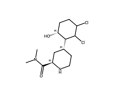 CN(C)C(=O)[C@H]1C[C@H](C2C(Cl)C(Cl)CC[C@H]2O)CCN1